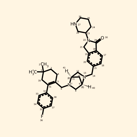 CC1(C)CCC(CN2C[C@H]3C[C@@H]2CN3Cc2ccc3c(c2)CN(C2CCCNC2)C3=O)=C(c2ccc(F)cc2)C1